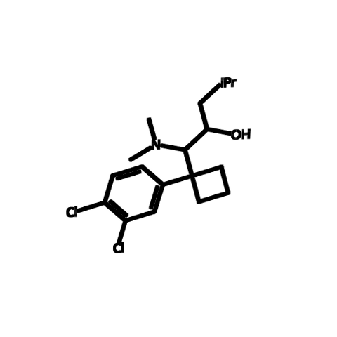 CC(C)CC(O)C(N(C)C)C1(c2ccc(Cl)c(Cl)c2)CCC1